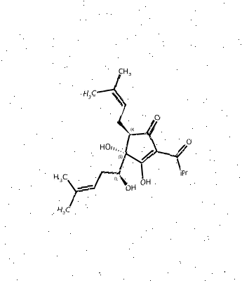 CC(C)=CC[C@H](O)[C@]1(O)C(O)=C(C(=O)C(C)C)C(=O)[C@@H]1CC=C(C)C